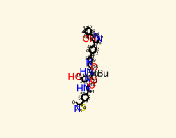 Cc1ncsc1-c1ccc(C(C)NC(=O)[C@@H]2C[C@@H](O)CN2C(=O)C(NC(=O)CN2CC(c3ccc(-c4cnnc(-c5ccccc5O)c4)cc3)C2)C(C)(C)C)cc1